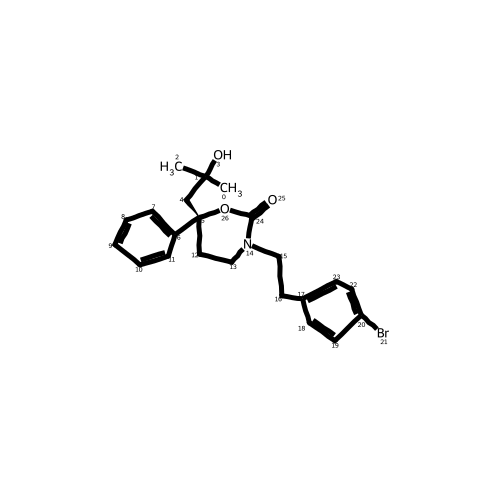 CC(C)(O)C[C@]1(c2ccccc2)CCN(CCc2ccc(Br)cc2)C(=O)O1